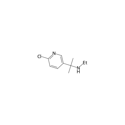 CCNC(C)(C)c1ccc(Cl)nc1